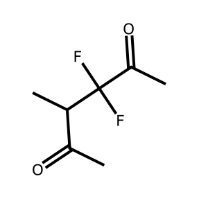 CC(=O)C(C)C(F)(F)C(C)=O